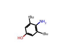 CC(C)(C)c1cc(O)cc(C(C)(C)C)c1N